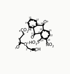 C#CCOC(=O)CCC(=O)O.O=C1c2ccccc2C(=O)c2c1ccc([N+](=O)[O-])c2S(=O)(=O)O